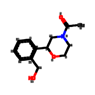 CC(C)(C)C(=O)N1CCOC(c2ccccc2CO)C1